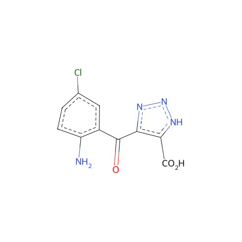 Nc1ccc(Cl)cc1C(=O)c1nn[nH]c1C(=O)O